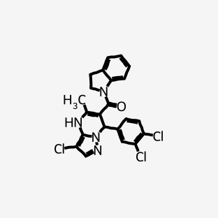 CC1=C(C(=O)N2CCc3ccccc32)C(c2ccc(Cl)c(Cl)c2)n2ncc(Cl)c2N1